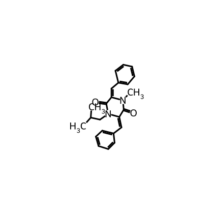 CC(C)Cn1c(=O)c(=Cc2ccccc2)n(C)c(=O)c1=Cc1ccccc1